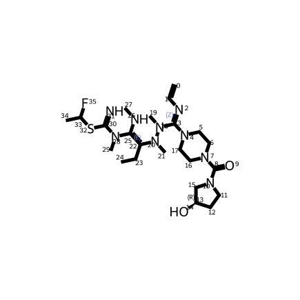 C=C/N=C(/N1CCN(C(=O)N2CC[C@@H](O)C2)CC1)N(C)N(C)/C(CC)=C(\NC)N(C)C(=N)SC(C)F